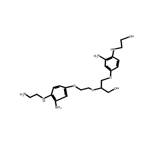 NCCNc1ccc(OCCOC(CO)COc2ccc(NCCO)c([N+](=O)[O-])c2)cc1[N+](=O)[O-]